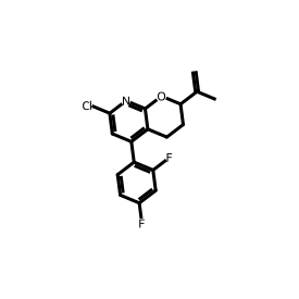 C=C(C)C1CCc2c(-c3ccc(F)cc3F)cc(Cl)nc2O1